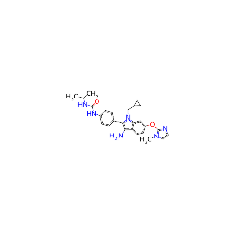 CC(C)NC(=O)Nc1ccc(-c2c(N)c3ccc(Oc4nccn4C)cc3n2CC2CC2)cc1